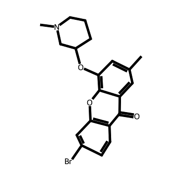 Cc1cc(OC2CCCN(C)C2)c2oc3cc(Br)ccc3c(=O)c2c1